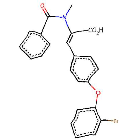 CN(C(=O)c1ccccc1)C(=Cc1ccc(Oc2ccccc2Br)cc1)C(=O)O